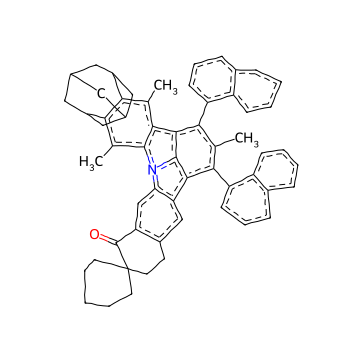 Cc1c(-c2cccc3ccccc23)c2c3cc4c(cc3n3c5c(C)c6c(c(C)c5c(c1-c1cccc5ccccc15)c23)C1CC2CC(C1)CC6C2)C(=O)C1(CCCCC1)CC4